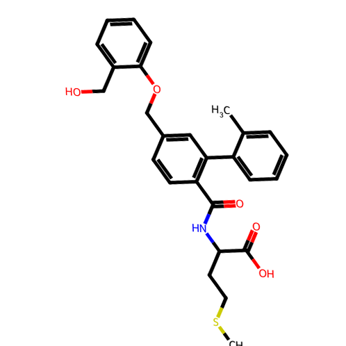 CSCCC(NC(=O)c1ccc(COc2ccccc2CO)cc1-c1ccccc1C)C(=O)O